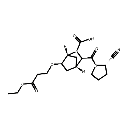 CCOC(=O)CCO[C@@H]1C[C@@H]2C[C@H]1N(C(=O)O)[C@H]2C(=O)N1CCC[C@H]1C#N